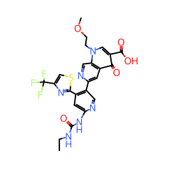 CCNC(=O)Nc1cc(-c2nc(C(F)(F)F)cs2)c(-c2cc3c(=O)c(C(=O)O)cn(CCOC)c3cn2)cn1